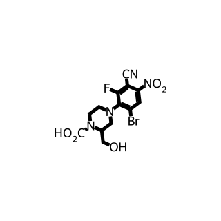 N#Cc1c([N+](=O)[O-])cc(Br)c(N2CCN(C(=O)O)C(CO)C2)c1F